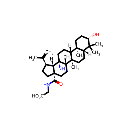 C=C(C)[C@@H]1CC[C@]2(C(=O)NCC(=O)O)CC[C@@]3(C)[C@]4(C)CC[C@H]5C(C)(C)[C@@H](O)CC[C@]5(C)[C@H]4CC[C@]3(N)[C@@H]12